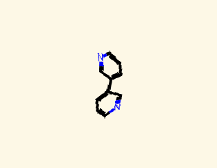 [c]1ccc(-c2cc[c]nc2)cn1